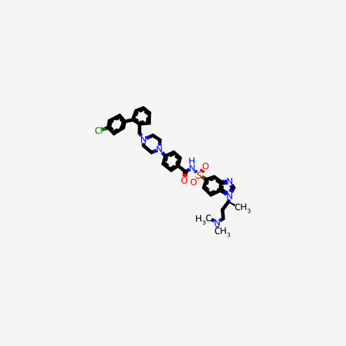 C[C@@H](CCN(C)C)n1cnc2cc(S(=O)(=O)NC(=O)c3ccc(N4CCN(Cc5ccccc5-c5ccc(Cl)cc5)CC4)cc3)ccc21